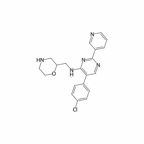 Clc1ccc(-c2cnc(-c3cccnc3)nc2NCC2CNCCO2)cc1